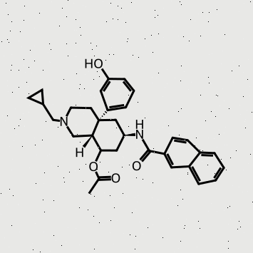 CC(=O)OC1C[C@H](NC(=O)c2ccc3ccccc3c2)C[C@]2(c3cccc(O)c3)CCN(CC3CC3)C[C@@H]12